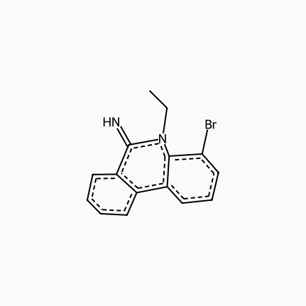 CCn1c(=N)c2ccccc2c2cccc(Br)c21